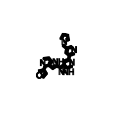 c1cc2[nH]c(-c3n[nH]c4cnc(-c5cncc(CN6CCCC6)c5)cc34)cc2c(-c2ccoc2)n1